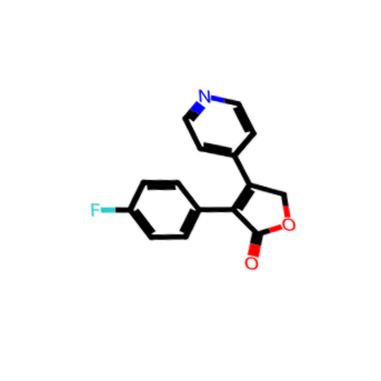 O=C1OCC(c2ccncc2)=C1c1ccc(F)cc1